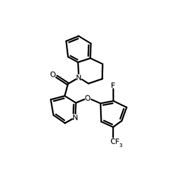 O=C(c1cccnc1Oc1cc(C(F)(F)F)ccc1F)N1CCCc2ccccc21